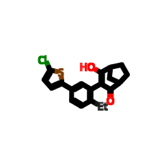 CCc1ccc(-c2ccc(Cl)s2)cc1C1=C(O)C2CCC(C2)C1=O